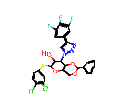 OC1C(Sc2ccc(Cl)c(Cl)c2)OC2COC(c3ccccc3)OC2C1n1cc(-c2cc(F)c(F)c(F)c2)nn1